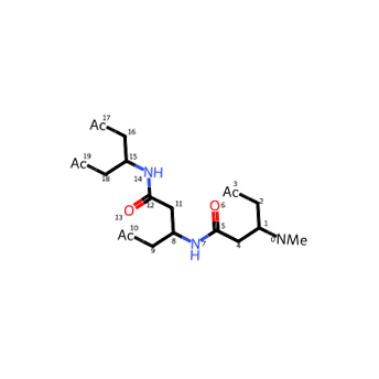 CNC(CC(C)=O)CC(=O)NC(CC(C)=O)CC(=O)NC(CC(C)=O)CC(C)=O